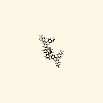 CC(C)(C)c1ccc(N(c2ccc([Si](C)(C)C)cc2)c2ccc3c(c2)oc2c4c(ccc23)-c2ccc3oc5cc(N(c6ccc(C(C)(C)C)cc6)c6ccc([Si](C)(C)C)cc6)ccc5c3c2C42C3CC4CC(C3)C2C4)cc1